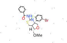 COC[C@H]1OC[C@]2(c3cc(Br)ccc3F)N=C(NC(=O)c3ccccc3)SC[C@H]12